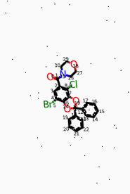 O=C(c1cc(Br)c2c(c1Cl)OC(c1ccccc1)(c1ccccc1)O2)N1CCOCC1